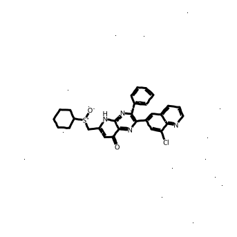 O=c1cc(C[S+]([O-])C2CCCCC2)[nH]c2nc(-c3ccccc3)c(-c3cc(Cl)c4ncccc4c3)nc12